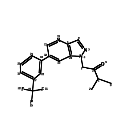 CC(C)C(=O)Cn1ncc2ncc(-c3cccc(C(F)(F)F)c3)cc21